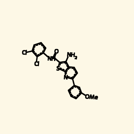 COc1cccc(-c2ccc3c(N)c(C(=O)Nc4cccc(Cl)c4Cl)sc3n2)c1